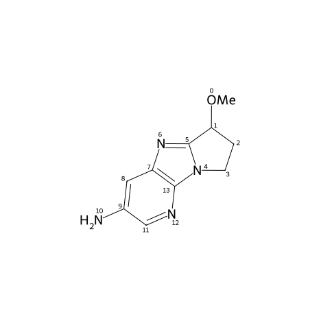 COC1CCn2c1nc1cc(N)cnc12